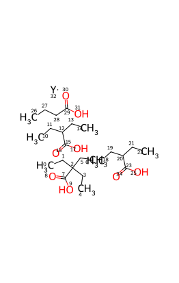 CCC(CC)(CC)C(=O)O.CCC(CC)C(=O)O.CCC(CC)C(=O)O.CCCC(=O)O.[Y]